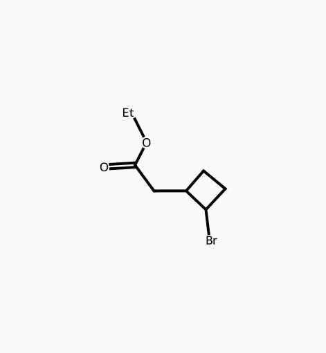 CCOC(=O)CC1CCC1Br